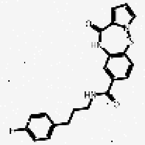 O=C(NCCCc1ccc(F)cc1)c1ccc2c(c1)NC(=O)c1cccn1S2